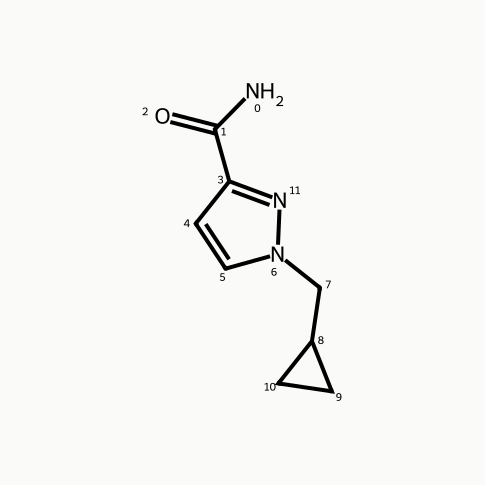 NC(=O)c1ccn(CC2CC2)n1